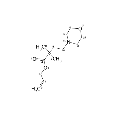 C=CCOC(=O)C(C)(C)CCN1CCOCC1